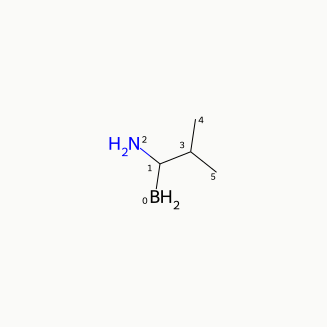 BC(N)C(C)C